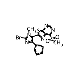 Cn1c(Br)nc(-c2ccccc2)c1-c1nc2c(S(C)(=O)=O)ncnc2s1